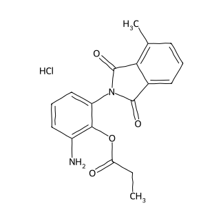 CCC(=O)Oc1c(N)cccc1N1C(=O)c2cccc(C)c2C1=O.Cl